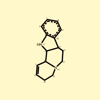 C1=CC2C3Nc4ccccc4C3CCN2CC1